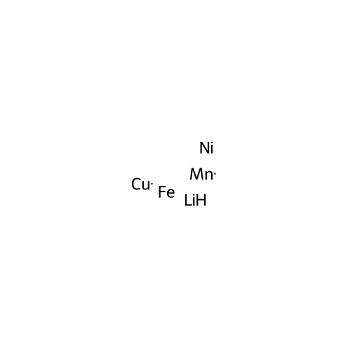 [Cu].[Fe].[LiH].[Mn].[Ni]